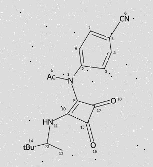 CC(=O)N(c1ccc(C#N)cc1)c1c(NC(C)C(C)(C)C)c(=O)c1=O